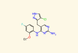 CCOc1cc(F)ccc1Nc1nc(N)ncc1Cc1n[nH]cc1Cl